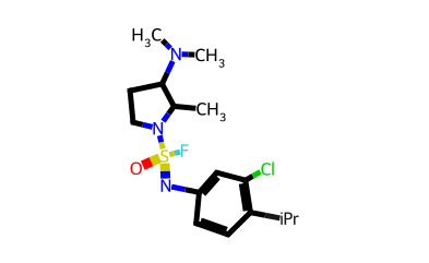 CC(C)c1ccc(N=S(=O)(F)N2CCC(N(C)C)C2C)cc1Cl